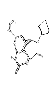 COc1cc(OC2CCC2)c2c(N)nc(=O)[nH]c2c1